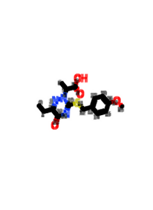 CCc1nn(C(C)C(=O)O)c(SCc2ccc(OC)cc2)nc1=O